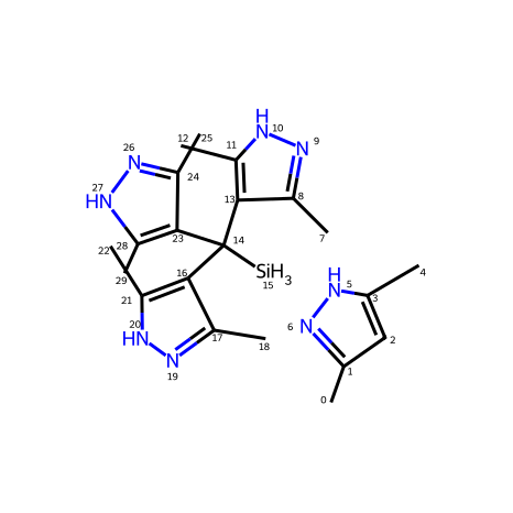 Cc1cc(C)[nH]n1.Cc1n[nH]c(C)c1C([SiH3])(c1c(C)n[nH]c1C)c1c(C)n[nH]c1C